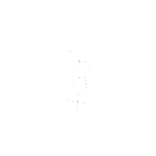 O=[N+]([O-])c1ccc2nc(C(Cl)(Cl)Cl)[nH]c2c1